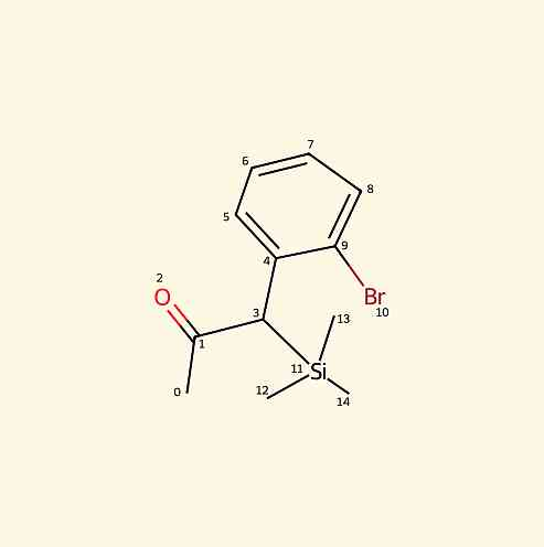 CC(=O)C(c1ccccc1Br)[Si](C)(C)C